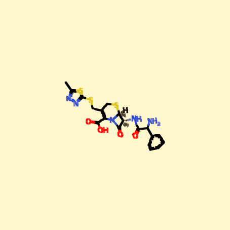 Cc1nnc(SCC2=C(C(=O)O)N3C(=O)[C@@H](NC(=O)C(N)c4ccccc4)[C@@H]3SC2)s1